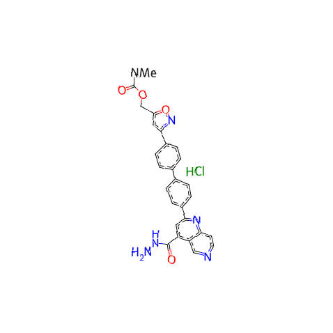 CNC(=O)OCc1cc(-c2ccc(-c3ccc(-c4cc(C(=O)NN)c5cnccc5n4)cc3)cc2)no1.Cl